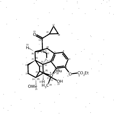 CCOC(=O)Oc1ccc2c3c1O[C@@H]1[C@]34CCN(C(=O)C3CC3)[C@H](C2)[C@]42CC[C@@]1(OC)C([C@](C)(O)C(C)(C)C)C2